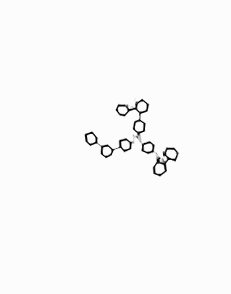 c1ccc(-c2cccc(-c3ccc(N(c4ccc(-c5cccc6oc7ccccc7c56)cc4)c4ccc(-n5c6ccccc6c6ccccc65)cc4)cc3)c2)cc1